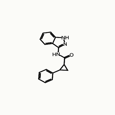 O=C(Nc1n[nH]c2ccccc12)C1CC1c1ccccc1